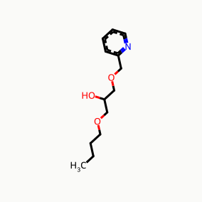 CCCCOCC(O)COCc1ccccn1